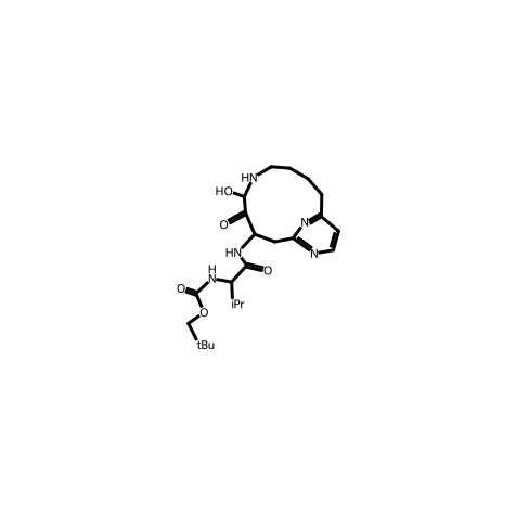 CC(C)C(NC(=O)OCC(C)(C)C)C(=O)NC1Cc2nccc(n2)CCCCNC(O)C1=O